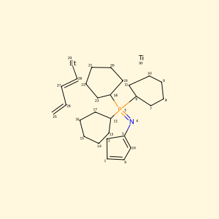 C1=CCC(N=P(C2CCCCC2)(C2CCCCC2)C2CCCCC2)=C1.C=CC=CCC.[Ti]